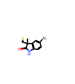 CC(=O)c1ccc2c(c1)C(C)(C=S)C(=O)N2